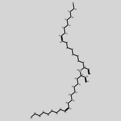 C=CC(CCCCCCC/C=C\CCCCCCCC)OC(C=C)CCCCCCC/C=C\CCCCCCCC